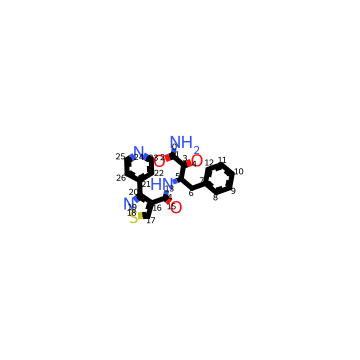 NC(=O)C(=O)C(Cc1ccccc1)NC(=O)c1csnc1-c1ccncc1